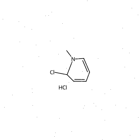 CN1C=CC=CC1Cl.Cl